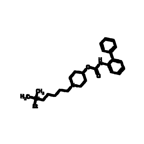 CC[N+](C)(C)CCCCCN1CCC(OC(=O)Nc2ccccc2-c2ccccc2)CC1